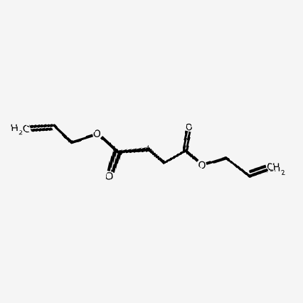 C=CCOC(=O)[CH]CC(=O)OCC=C